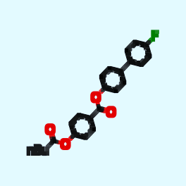 CCCCC(=O)Oc1ccc(C(=O)Oc2ccc(-c3ccc(F)cc3)cc2)cc1